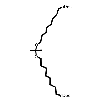 CCCCCCCCCCCCCCCCCCOC(C)(C)OCCCCCCCCCCCCCCCCCC